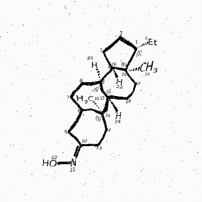 CC[C@H]1CC[C@H]2[C@@H]3CCC4CC(=NO)CC[C@]4(C)[C@H]3CC[C@]12C